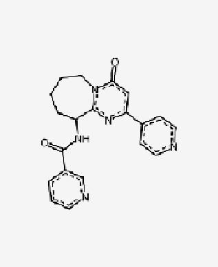 O=C(NC1CCCCn2c1nc(-c1ccncc1)cc2=O)c1cccnc1